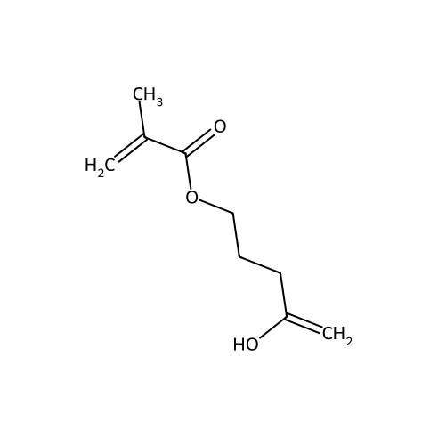 C=C(O)CCCOC(=O)C(=C)C